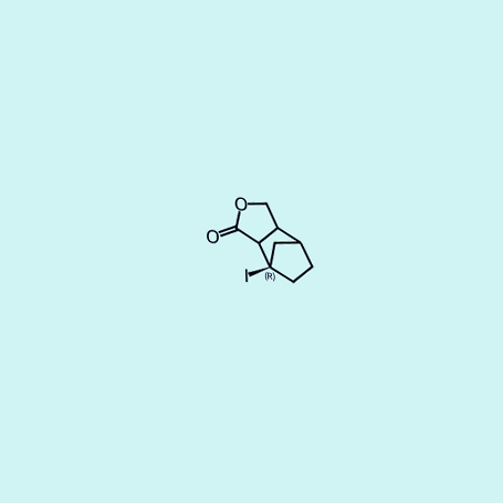 O=C1OCC2C3CC[C@@](I)(C3)C12